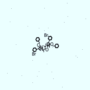 CC(C(=O)C(C)n1cc(-c2cccc(Br)c2)c(OCc2ccccc2)n1)n1cc(-c2cccc(Br)c2)c(OCc2ccccc2)n1